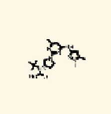 Cc1cc(Nc2cc(C)[nH]n2)nc(N2CC[C@H](N(C(=O)O)C(C)(C)C)C2)n1